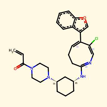 C=CC(=O)N1CCN([C@H]2CCC[C@@H](N/C3=N/C=C(Cl)\C(c4coc5ccccc45)=C/CC3)C2)CC1